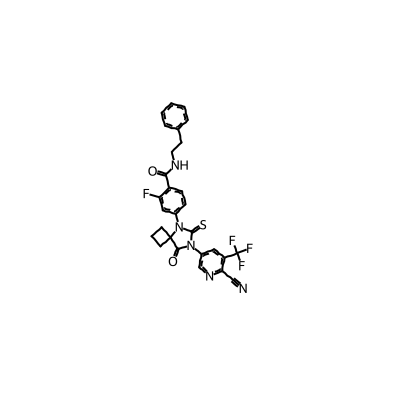 N#Cc1ncc(N2C(=O)C3(CCC3)N(c3ccc(C(=O)NCCc4ccccc4)c(F)c3)C2=S)cc1C(F)(F)F